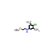 CCCCOCCNc1cc(C)c(Br)c(C)c1